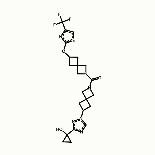 O=C(N1CC2(CC(Oc3nc(C(F)(F)F)cs3)C2)C1)N1CC2(CC(n3cnc(C4(O)CC4)n3)C2)C1